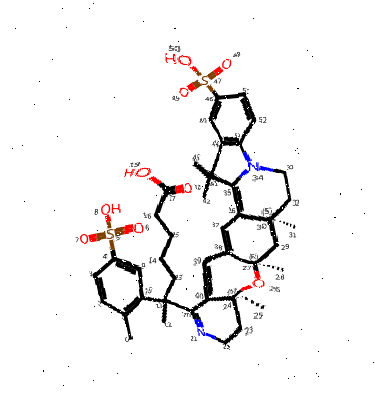 Cc1ccc(S(=O)(=O)O)cc1C(C)(CCCCC(=O)O)C1=NCC[C@]2(C)O[C@]3(C)C[C@]4(C)CCN5C(=C4C=C3C=C12)C(C)(C)c1cc(S(=O)(=O)O)ccc15